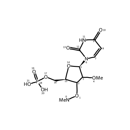 CNOC1C(OC)[C@H](n2ccc(=O)[nH]c2=O)O[C@@H]1COP(=O)(O)O